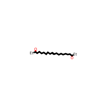 CCC(=O)CCCCCCCC=CCCCCCCCC(=O)CC